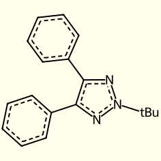 CC(C)(C)n1nc(-c2ccccc2)c(-c2ccccc2)n1